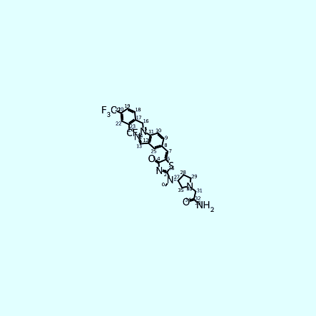 CN(C1=NC(=O)C(=Cc2ccc3c(cnn3Cc3ccc(C(F)(F)F)cc3C(F)(F)F)c2)S1)[C@@H]1CCN(CC(N)=O)C1